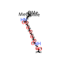 C=C(C)C(=O)OCCNC(=O)OCCOCCOCCOCCOC(=O)NCCC[Si](OC)(OC)OC